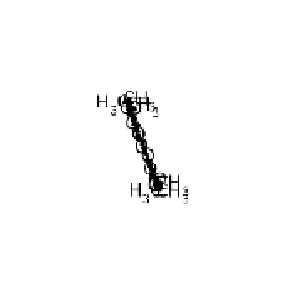 CC(C)(C)OC(=O)CCOCCOCCOCCOCCOCCC(=O)OC(C)(C)C